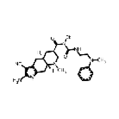 CCN(C(=O)NCCN(C)c1ccccc1)C(=O)[C@@H]1C[C@@H]2Cc3c(sc(N)c3C#N)C[C@H]2N(C)C1